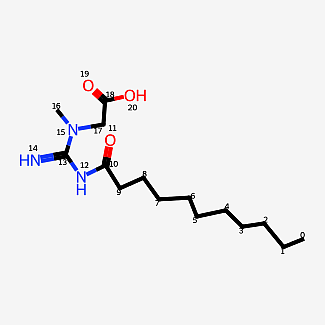 CCCCCCCCCCC(=O)NC(=N)N(C)CC(=O)O